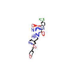 O=C(NCc1ccnc(OCC2CCOC2)c1)c1nc2ccc(Cl)cc2c(=O)[nH]1